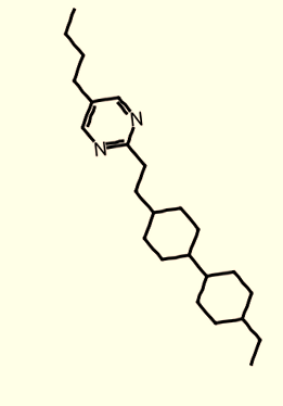 CCCCc1cnc(CCC2CCC(C3CCC(CC)CC3)CC2)nc1